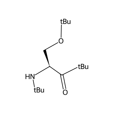 CC(C)(C)N[C@@H](COC(C)(C)C)C(=O)C(C)(C)C